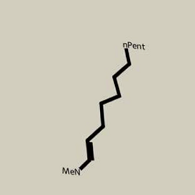 CCCCCCCCCCC=CNC